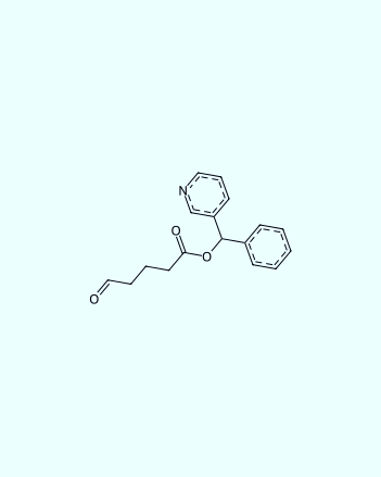 O=CCCCC(=O)OC(c1ccccc1)c1cccnc1